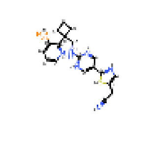 N#CCc1cnc(-c2cnc(NCC3(c4ncccc4P)CCC3)nc2)s1